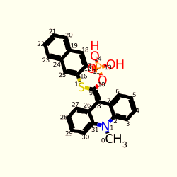 CN1c2ccccc2C(=C(OP(=O)(O)O)Sc2ccc3ccccc3c2)c2ccccc21